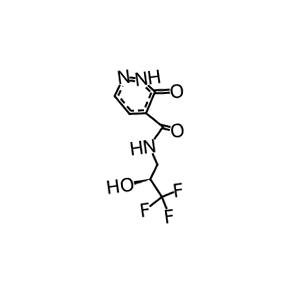 O=C(NC[C@H](O)C(F)(F)F)c1ccn[nH]c1=O